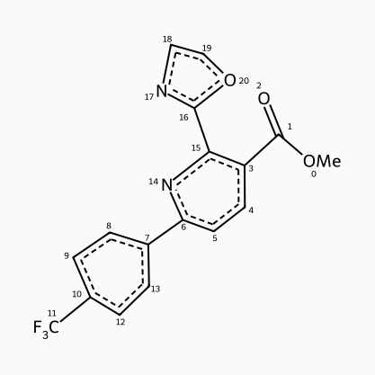 COC(=O)c1ccc(-c2ccc(C(F)(F)F)cc2)nc1-c1ncco1